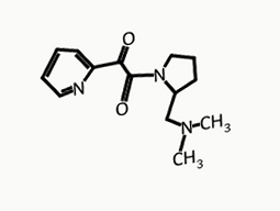 CN(C)CC1CCCN1C(=O)C(=O)c1ccccn1